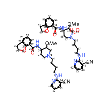 COC1CN(CCCCNc2ncccc2C#N)CCC1NC(=O)c1cccc2c1OCC2.COC1CN(CCCCNc2ncccc2C#N)CCC1NC(=O)c1cccc2c1OCC2.O